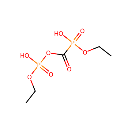 CCOP(=O)(O)OC(=O)P(=O)(O)OCC